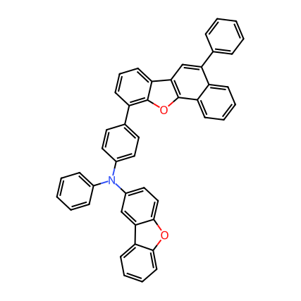 c1ccc(-c2cc3c4cccc(-c5ccc(N(c6ccccc6)c6ccc7oc8ccccc8c7c6)cc5)c4oc3c3ccccc23)cc1